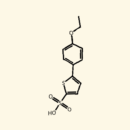 CCOc1ccc(-c2ccc(S(=O)(=O)O)s2)cc1